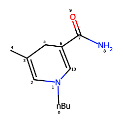 CCCCN1C=C(C)CC(C(N)=O)=C1